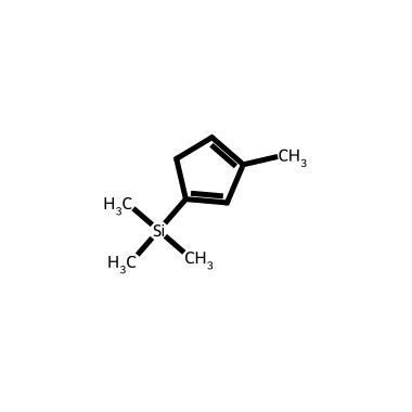 CC1=CCC([Si](C)(C)C)=C1